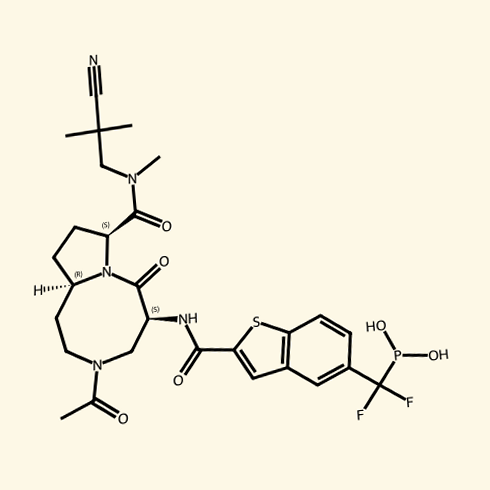 CC(=O)N1CC[C@H]2CC[C@@H](C(=O)N(C)CC(C)(C)C#N)N2C(=O)[C@@H](NC(=O)c2cc3cc(C(F)(F)P(O)O)ccc3s2)C1